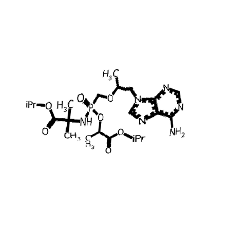 CC(C)OC(=O)C(C)OP(=O)(COC(C)Cn1cnc2c(N)ncnc21)NC(C)(C)C(=O)OC(C)C